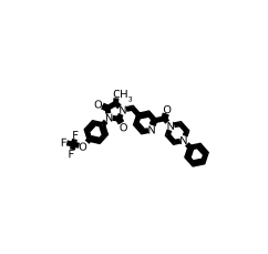 CC1C(=O)N(c2ccc(OC(F)(F)F)cc2)C(=O)N1Cc1ccnc(C(=O)N2CCN(c3ccccc3)CC2)c1